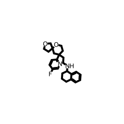 Fc1ccc(C2(CCNC3CCCc4ccccc43)CCOC3(CCOC3)C2)nc1